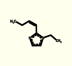 CC/C=C\c1nccn1CC